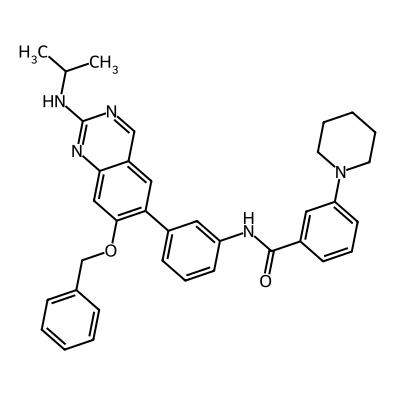 CC(C)Nc1ncc2cc(-c3cccc(NC(=O)c4cccc(N5CCCCC5)c4)c3)c(OCc3ccccc3)cc2n1